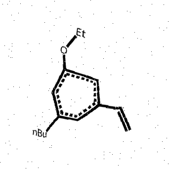 C=[C]c1cc(CCCC)cc(OCC)c1